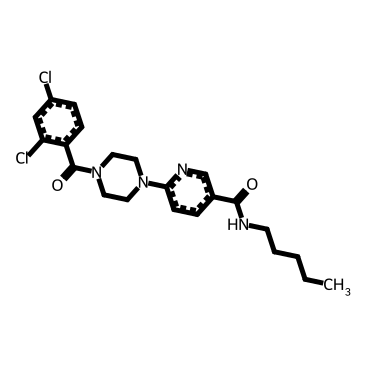 CCCCCNC(=O)c1ccc(N2CCN(C(=O)c3ccc(Cl)cc3Cl)CC2)nc1